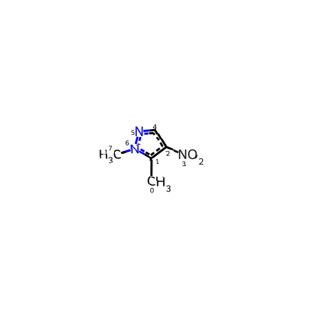 Cc1c([N+](=O)[O-])cnn1C